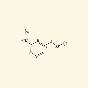 CCOCc1cccc(NC(C)C)c1